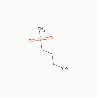 CCCCCCS(C)(=O)=O